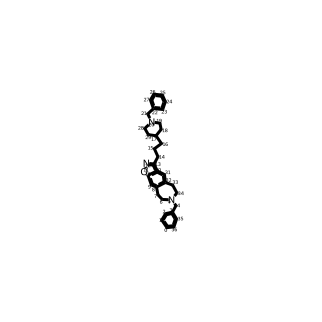 c1ccc(CN2CCc3cc4onc(CCCC5CCN(Cc6ccccc6)CC5)c4cc3CC2)cc1